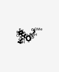 COC(=O)CCNS(=O)(=O)[C@@H]1C=CCC[C@@H](C2=C(C(=O)OC)C(c3ccc(F)c(F)c3Cl)N=C(c3nccs3)N2)CC1